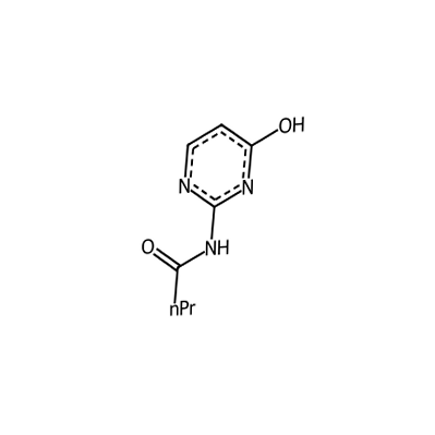 CCCC(=O)Nc1nccc(O)n1